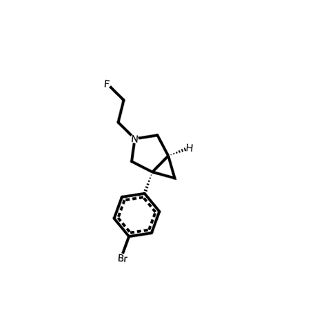 FCCN1C[C@H]2C[C@@]2(c2ccc(Br)cc2)C1